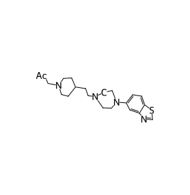 CC(=O)CN1CCC(CCN2CCN(c3ccc4scnc4c3)CC2)CC1